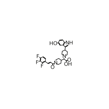 O=C(O)C(C1CCN(C(=O)C=Cc2ccc(F)c(F)c2F)CC1)N1CCC(c2c[nH]c3ccc(O)cc23)CC1